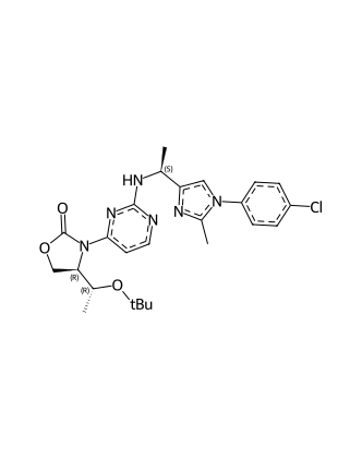 Cc1nc([C@H](C)Nc2nccc(N3C(=O)OC[C@@H]3[C@@H](C)OC(C)(C)C)n2)cn1-c1ccc(Cl)cc1